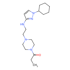 CCC(=O)N1CCN(CCNc2ccn(C3CCCCC3)n2)CC1